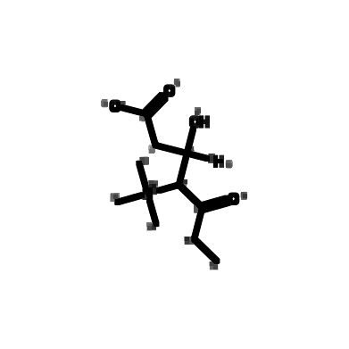 [2H]C(O)(CC(=O)[O-])C(C(=O)CC)[N+](C)(C)C